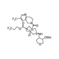 COC1COCCC1N[C@H]1C[C@@H]2CN(C(=O)OCCC(F)(F)F)C[C@]2(C(=O)N2CCc3ncc(C(F)(F)F)cc3C2)C1